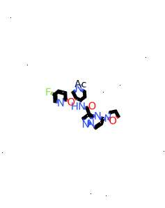 CC(=O)N1CC[C@@H](NC(=O)c2cnn3ccc(N4CCCO4)nc23)C(Oc2ccc(F)cn2)C1